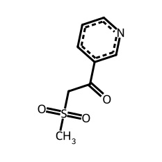 CS(=O)(=O)CC(=O)c1cccnc1